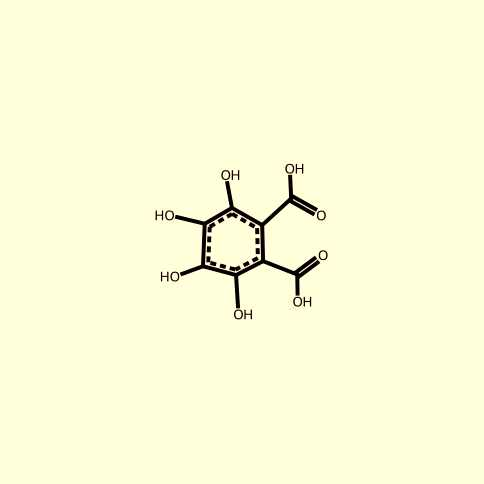 O=C(O)c1c(O)c(O)c(O)c(O)c1C(=O)O